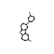 Cc1cccc(-c2ccc3oc4ccc(I)cc4c3c2)c1